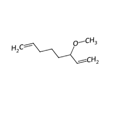 C=CCCCC(C=C)OC